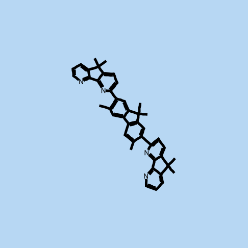 Cc1cc2c(cc1-c1ccc3c(n1)-c1ncccc1C3(C)C)C(C)(C)c1cc(-c3ccc4c(n3)-c3ncccc3C4(C)C)c(C)cc1-2